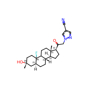 C[C@@]1(O)CC[C@]2(F)C3CC[C@]4(C)[C@@H](C(=O)Cn5cc(C#N)cn5)CC[C@H]4[C@@H]3CC[C@H]2C1